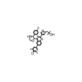 Cc1cc(-c2ccc3nc(-c4cnn(CC(C)(C)O)c4)nc(C4OCCNC4c4ccc(F)cc4)c3c2)cn(C)c1=O